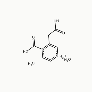 O.O.O.O=C(O)Cc1ccccc1C(=O)O